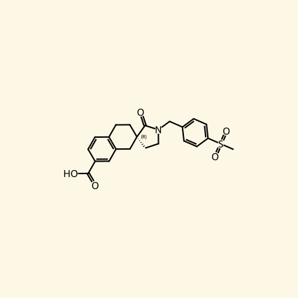 CS(=O)(=O)c1ccc(CN2CC[C@]3(CCc4ccc(C(=O)O)cc4C3)C2=O)cc1